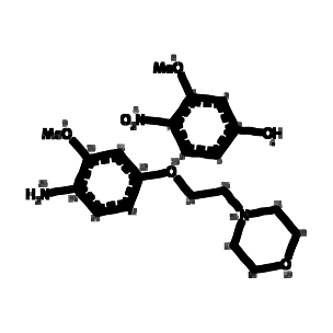 COc1cc(O)ccc1[N+](=O)[O-].COc1cc(OCCN2CCOCC2)ccc1N